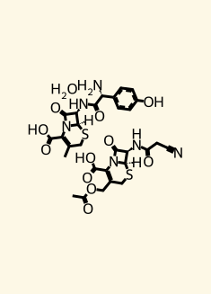 CC(=O)OCC1=C(C(=O)O)N2C(=O)[C@@H](NC(=O)CC#N)[C@H]2SC1.CC1=C(C(=O)O)N2C(=O)[C@@H](NC(=O)[C@H](N)c3ccc(O)cc3)[C@H]2SC1.O